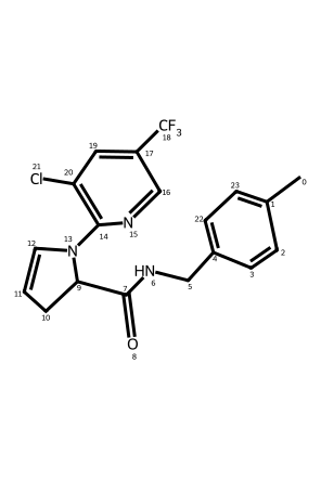 Cc1ccc(CNC(=O)C2CC=CN2c2ncc(C(F)(F)F)cc2Cl)cc1